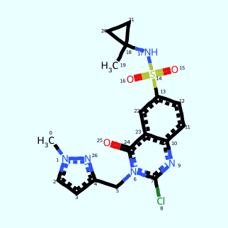 Cn1ccc(Cn2c(Cl)nc3ccc(S(=O)(=O)NC4(C)CC4)cc3c2=O)n1